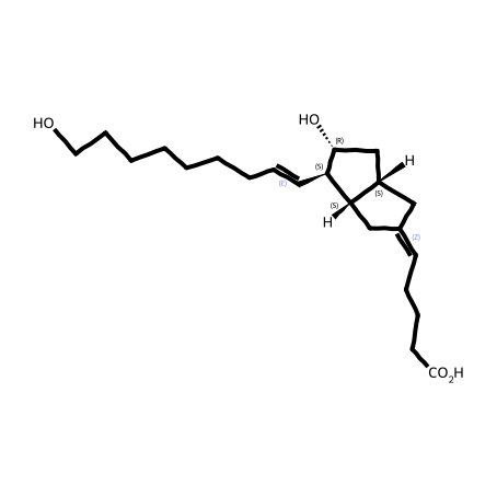 O=C(O)CCC/C=C1/C[C@H]2C[C@@H](O)[C@H](/C=C/CCCCCCCO)[C@H]2C1